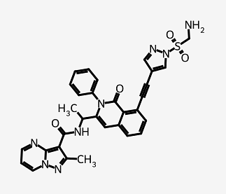 Cc1nn2cccnc2c1C(=O)NC(C)c1cc2cccc(C#Cc3cnn(S(=O)(=O)CN)c3)c2c(=O)n1-c1ccccc1